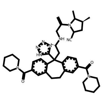 C=C(CN[C@@H](C)CC1(c2nnn[nH]2)c2ccc(C(=O)N3CCCCC3)cc2CCc2cc(C(=O)N3CCCCC3)ccc21)N1C(C#N)C[C@H](C)C1C